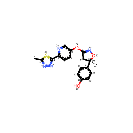 Cc1nnc(-c2ccc(OC3=NO[C@@](C)(c4ccc(O)cc4)C3)cn2)s1